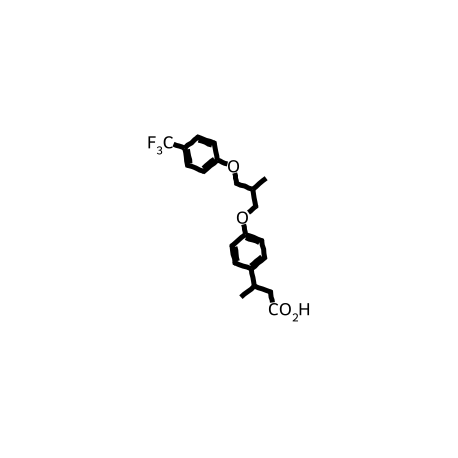 CC(COc1ccc(C(C)CC(=O)O)cc1)COc1ccc(C(F)(F)F)cc1